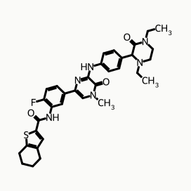 CCN1CCN(CC)C(c2ccc(Nc3nc(-c4ccc(F)c(NC(=O)c5cc6c(s5)CCCC6)c4)cn(C)c3=O)cc2)C1=O